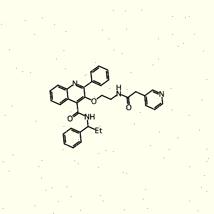 CCC(NC(=O)c1c(OCCNC(=O)Cc2cccnc2)c(-c2ccccc2)nc2ccccc12)c1ccccc1